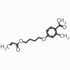 C=CC(=O)OCCCCOc1ccc(C(C)=O)c(C)c1